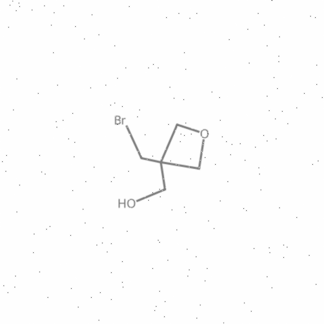 OCC1(CBr)COC1